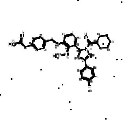 COc1c(OCc2ccc(CC(=O)O)cc2)cccc1C1SC(c2ccc(F)cc2)=NN1C(=O)C1CCCCC1